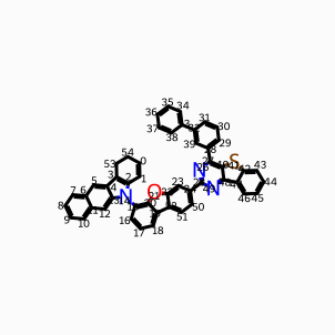 C1=Cc2c(c3cc4ccccc4cc3n2-c2cccc3c2oc2cc(-c4nc(-c5cccc(-c6ccccc6)c5)c5sc6ccccc6c5n4)ccc23)CC1